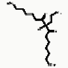 CCCCCCCCCCCCCCCC(=O)C(CC)(CCN)C(=O)CCCCCCCCCCCCCCC